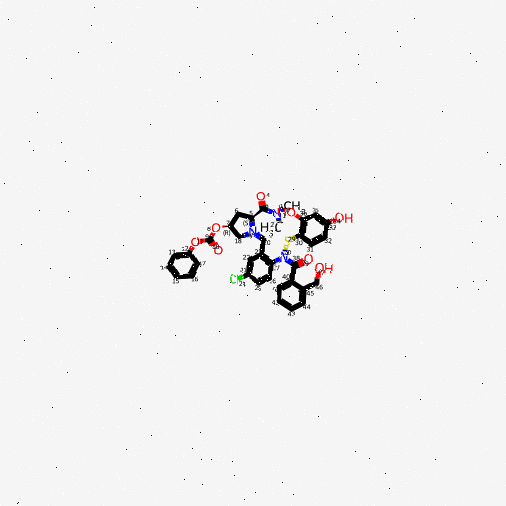 CN(C)C(=O)[C@@H]1C[C@@H](OC(=O)Oc2ccccc2)CN1Cc1cc(Cl)ccc1N(Sc1ccc(O)cc1O)C(=O)c1ccccc1CO